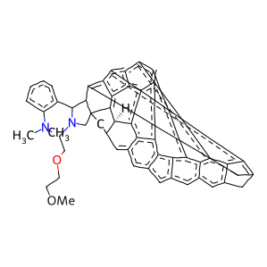 COCCOCCN1CC23CC4C=c5cc6cc7cc8cc9c%10c%11c%12c(c%13c%14c%15c(c5c5c6c7c6c8c%10c(c%12%14)c6c%155)[C@@H]4C=%132)=C(CC=%11C9)C3C1c1ccccc1N(C)C